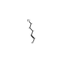 FC=CCCCF